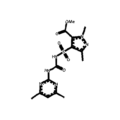 COC(=O)c1c(S(=O)(=O)NC(=O)Nc2nc(C)cc(C)n2)c(C)nn1C